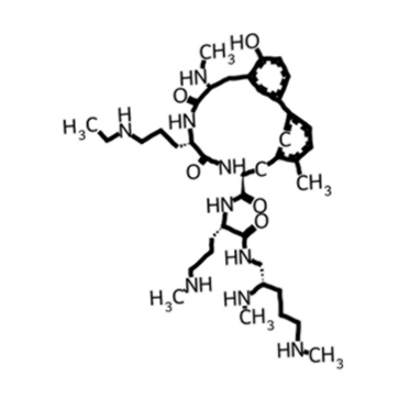 CCNCCC[C@@H]1NC(=O)[C@@H](NC)Cc2cc(ccc2O)-c2ccc(C)c(c2)C[C@@H](C(=O)N[C@@H](CCCNC)C(=O)NC[C@H](CCCNC)NC)NC1=O